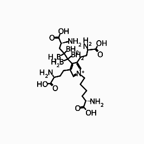 BC(B)(C[C@H](N)C(=O)O)C(B)(B)c1c(CC[C@H](N)C(=O)O)c[n+](CCCC[C@H](N)C(=O)O)cc1CC[C@H](N)C(=O)O